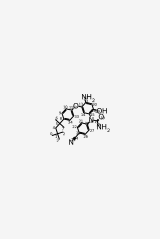 CC(C)(C)CC(C)(C)c1ccc(Oc2cc(N(C(N)=O)c3ccc(C#N)cc3)c(O)cc2N)cc1